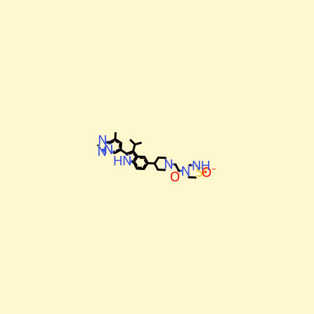 Cc1cc(-c2[nH]c3ccc(C4CCN(CC(=O)N5CC[S+]([O-])NC5)CC4)cc3c2C(C)C)cn2ncnc12